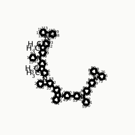 CC1(C)c2cc(N(c3ccccc3)c3ccc4c(c3)C(C)(C)c3cc(-n5c6ccccc6c6cc(-c7ccc8c(c7)c7ccccc7n8-c7ccc(-c8ccc(N(c9ccccc9)c9ccc(-c%10ccc(-n%11c%12ccccc%12c%12ccccc%12%11)cc%10)cc9)cc8)cc7)ccc65)ccc3-4)ccc2-c2ccc(-n3c4ccccc4c4ccccc43)cc21